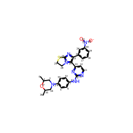 CC1CN(c2ccc(Nc3nccc(-c4c(-c5cccc([N+](=O)[O-])c5)nc5n4CCS5)n3)cc2)CC(C)O1